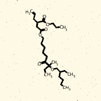 C=CCC(CC(=O)OCCCCCC(=O)C(C)(CC)OCC(CC)CCCC)C(=O)OCCC